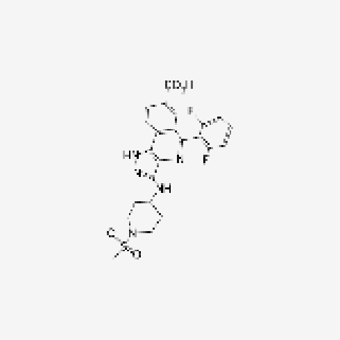 CS(=O)(=O)N1CCC(Nc2n[nH]c3c2nc(-c2c(F)cccc2F)c2cc(C(=O)O)ccc23)CC1